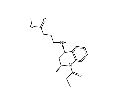 CCC(=O)N1c2ccccc2[C@H](NCCCC(=O)OC)C[C@@H]1C